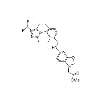 COC(=O)C[C@@H]1COc2cc(NCc3ccc(C)c(-c4c(C)nn(C(F)F)c4C)c3C)ccc21